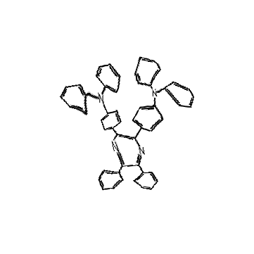 c1ccc(-c2nc(-c3ccc(N(c4ccccc4)c4ccccc4)cc3)c(-c3ccc(N(c4ccccc4)c4ccccc4)cc3)nc2-c2ccccc2)cc1